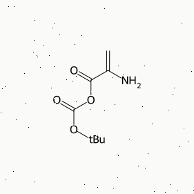 C=C(N)C(=O)OC(=O)OC(C)(C)C